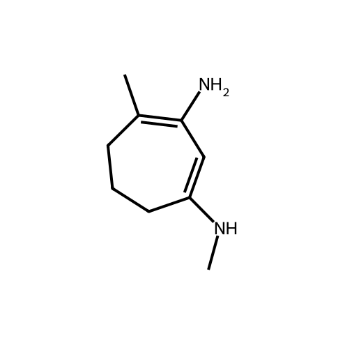 CNC1=CC(N)=C(C)CCC1